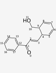 O=C(C=CC1C=CC=CC1CO)c1ccccc1